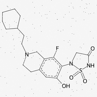 O=C1CN(c2c(O)cc3c(c2F)CN(CCC2CCCCC2)CC3)S(=O)(=O)N1